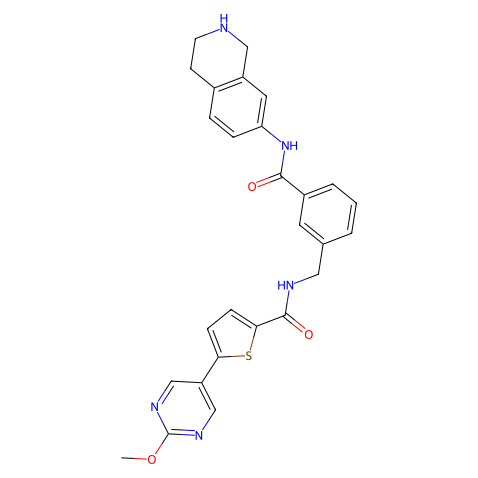 COc1ncc(-c2ccc(C(=O)NCc3cccc(C(=O)Nc4ccc5c(c4)CNCC5)c3)s2)cn1